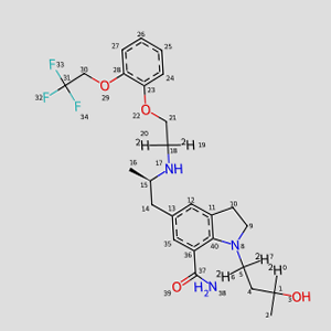 [2H]C(C)(O)CC([2H])([2H])N1CCc2cc(C[C@@H](C)NC([2H])([2H])COc3ccccc3OCC(F)(F)F)cc(C(N)=O)c21